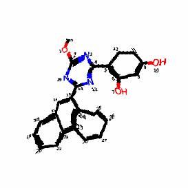 COc1nc(C2=C(O)C=C(O)CC2)nc(-c2cc3ccccc3c3c2CCC=C3)n1